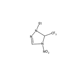 CCN1N=CN([N+](=O)[O-])C1C(F)(F)F